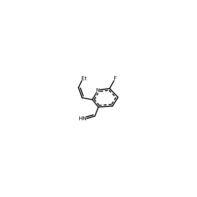 CC/C=C\c1nc(F)ccc1C=N